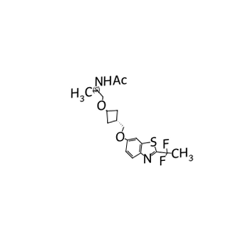 CC(=O)N[C@@H](C)CO[C@H]1C[C@H](COc2ccc3nc(C(C)(F)F)sc3c2)C1